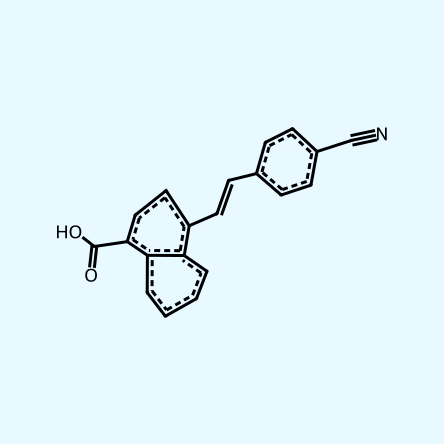 N#Cc1ccc(C=Cc2ccc(C(=O)O)c3ccccc23)cc1